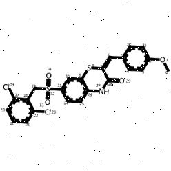 COc1ccc(/C=C2/Sc3cc(S(=O)(=O)Cc4c(Cl)cccc4Cl)ccc3NC2=O)cc1